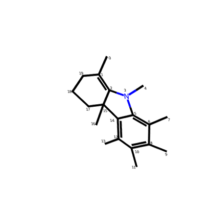 CC1=C2N(C)c3c(C)c(C)c(C)c(C)c3C2(C)CCC1